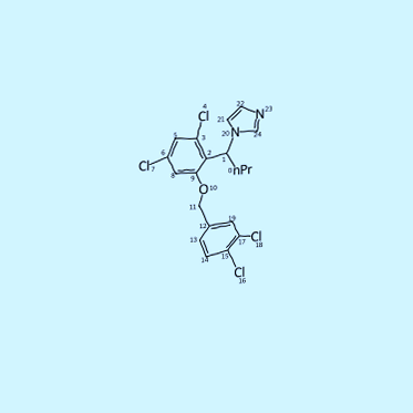 CCCC(c1c(Cl)cc(Cl)cc1OCc1ccc(Cl)c(Cl)c1)n1ccnc1